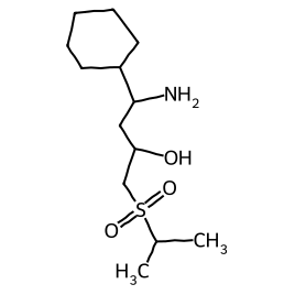 CC(C)S(=O)(=O)CC(O)CC(N)C1CCCCC1